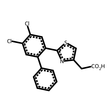 O=C(O)Cc1csc(-c2cc(Cl)c(Cl)cc2-c2ccccc2)n1